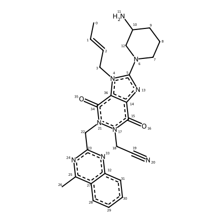 CC=CCn1c(N2CCCC(N)C2)nc2c(=O)n(CC#N)n(Cc3nc(C)c4ccccc4n3)c(=O)c21